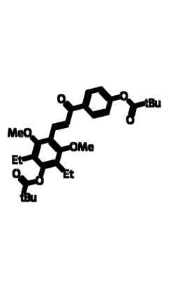 CCc1c(OC)c(C=CC(=O)c2ccc(OC(=O)C(C)(C)C)cc2)c(OC)c(CC)c1OC(=O)C(C)(C)C